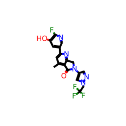 Cc1cc(-c2cnc(F)c(O)c2)nc2c1C(=O)N(c1cnn(CC(F)(F)F)c1)C2